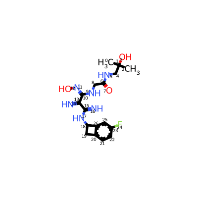 CC(C)(O)CNC(=O)CN/C(=N/O)C(=N)C(=N)NC1Cc2ccc(F)cc21